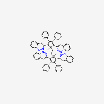 C[Si]1(CC[Si]2(C)C(c3cc4ccccc4nn3)=C(c3ccccc3)C(c3ccccc3)=C2c2cc3ccccc3nn2)C(c2cc3ccccc3nn2)=C(c2ccccc2)C(c2ccccc2)=C1c1cc2ccccc2nn1